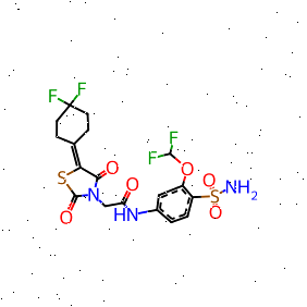 NS(=O)(=O)c1ccc(NC(=O)CN2C(=O)SC(=C3CCC(F)(F)CC3)C2=O)cc1OC(F)F